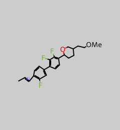 C/C=C/c1ccc(-c2ccc(C3CCC(CCOC)CO3)c(F)c2F)cc1F